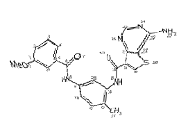 COc1cccc(C(=O)Nc2ccc(C)c(NC(=O)c3csc4c(N)ncnc34)c2)c1